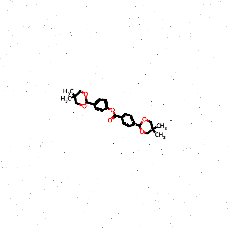 CC1(C)COC(c2ccc(OC(=O)c3ccc(C4OCC(C)(C)CO4)cc3)cc2)OC1